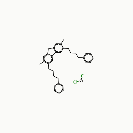 Cc1cc2c(cc1CCCCc1ccccc1)-c1cc(CCCCc3ccccc3)c(C)cc1[CH]2.[Cl][Zr][Cl]